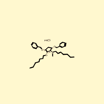 CCCCCCCO[C@H]1[C@H](N(C)CCCCCCC)[C@@H](OCc2ccccc2)C[C@H]1OCc1ccccc1.Cl